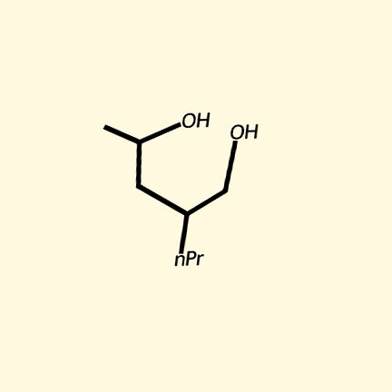 CCCC(CO)CC(C)O